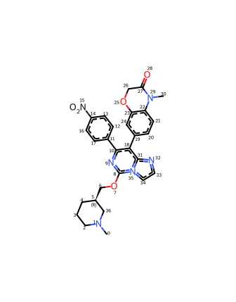 CN1CCC[C@@H](COc2nc(-c3ccc([N+](=O)[O-])cc3)c(-c3ccc4c(c3)OCC(=O)N4C)c3nccn23)C1